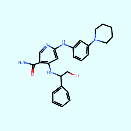 NC(=O)c1cnc(Nc2cccc(N3CCCCC3)c2)cc1NC(CO)c1ccccc1